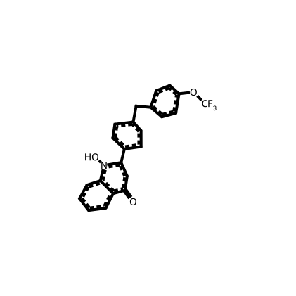 O=c1cc(-c2ccc(Cc3ccc(OC(F)(F)F)cc3)cc2)n(O)c2ccccc12